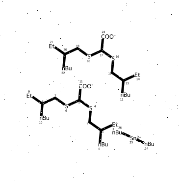 CCCCC(CC)CSC(SCC(CC)CCCC)C(=O)[O-].CCCCC(CC)CSC(SCC(CC)CCCC)C(=O)[O-].CCC[CH2][Sn+2][CH2]CCC